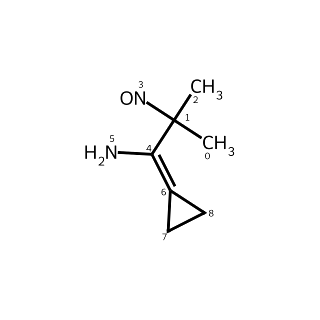 CC(C)(N=O)C(N)=C1CC1